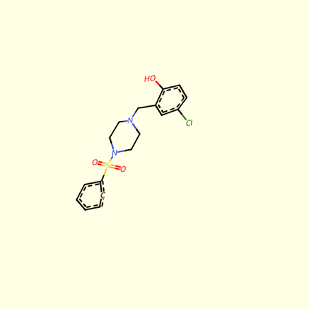 O=S(=O)(c1ccccc1)N1CCN(Cc2cc(Cl)ccc2O)CC1